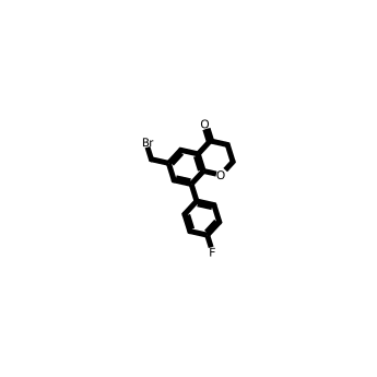 O=C1CCOc2c1cc(CBr)cc2-c1ccc(F)cc1